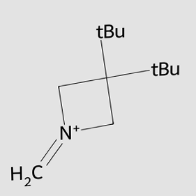 C=[N+]1CC(C(C)(C)C)(C(C)(C)C)C1